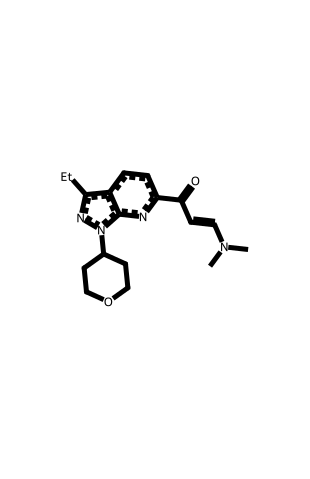 CCc1nn(C2CCOCC2)c2nc(C(=O)C=CN(C)C)ccc12